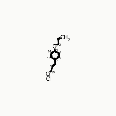 C=CCOc1ccc(/C=C/COCl)cc1